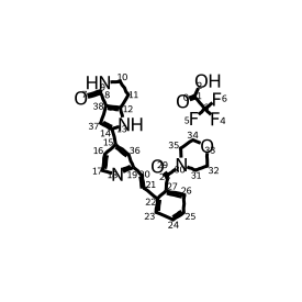 O=C(O)C(F)(F)F.O=C1NCCc2[nH]c(-c3ccnc(C=Cc4ccccc4C(=O)N4CCOCC4)c3)cc21